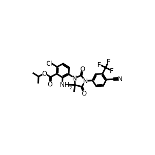 CC(C)OC(=O)c1c(Cl)ccc(N2C(=O)N(c3ccc(C#N)c(C(F)(F)F)c3)C(=O)C2(C)C)c1N